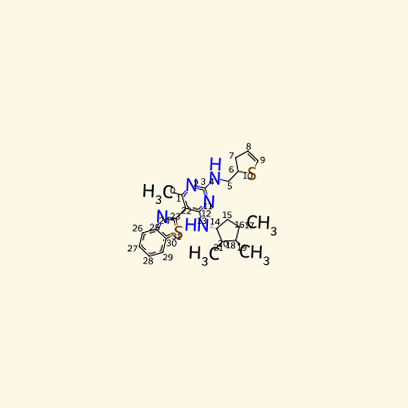 Cc1nc(NCC2CC=CS2)nc(N[C@@H]2C[C@H](C)[C@@H](C)[C@H]2C)c1-c1nc2ccccc2s1